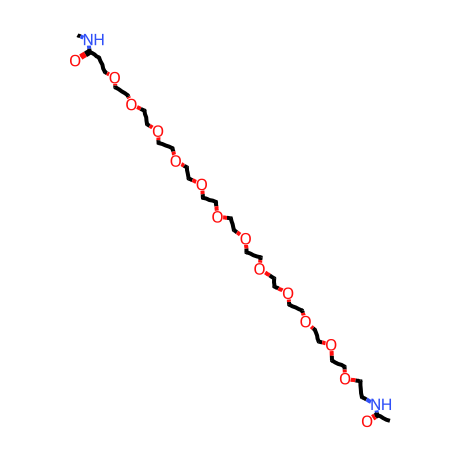 CNC(=O)CCOCCOCCOCCOCCOCCOCCOCCOCCOCCOCCOCCOCCNC(C)=O